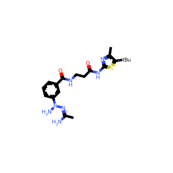 C/C(N)=N/N(N)c1cccc(C(=O)NCCC(=O)Nc2nc(C)c(C(C)(C)C)s2)c1